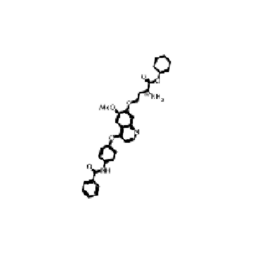 COc1cc2c(Oc3ccc(NC(=O)c4ccccc4)cc3)ccnc2cc1OCC[C@H](N)C(=O)OC1CCCCC1